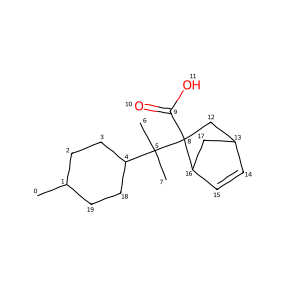 CC1CCC(C(C)(C)C2(C(=O)O)CC3C=CC2C3)CC1